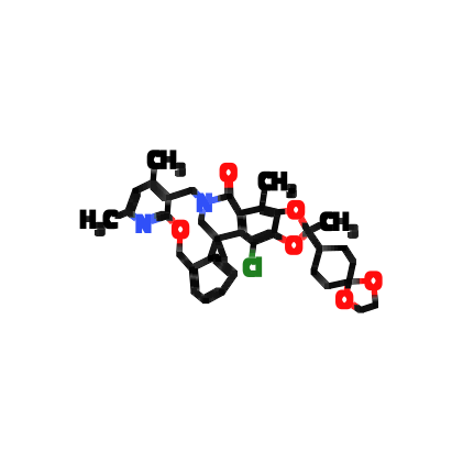 Cc1cc(C)c(CN2CC3(CC3)c3c(Cl)c4c(c(C)c3C2=O)OC(C)(C2CCC3(CC2)OCCO3)O4)c(OCc2ccccc2)n1